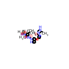 CCC1CN(C(=O)c2cc(Oc3ccc(NC(=O)Nc4cc(C(C)(C)C)cc(NS(C)(=O)=O)c4OC)c4ccccc34)ccn2)CCN1